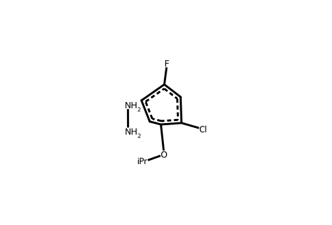 CC(C)Oc1ccc(F)cc1Cl.NN